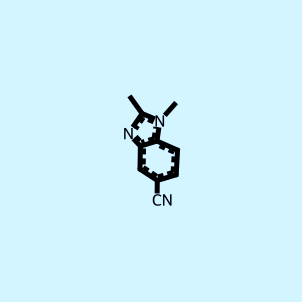 Cc1nc2cc(C#N)ccc2n1C